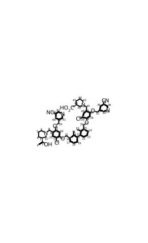 C=C(O)[C@H]1CCCN(Cc2cc(Cl)c(OCc3cccc(-c4cccc(COc5cc(OCc6cncc(C#N)c6)c(CN6CCC[C@H](C(=O)O)C6)cc5Cl)c4C)c3C)cc2OCc2cncc(C#N)c2)C1